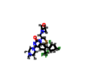 C[C@@H]1CN(c2nc(=O)n3c4c(c(-c5ccc(F)cc5F)c(C(F)(F)F)cc24)SC[C@@H]3CN2CC3OCC32)C[C@H](C)N1C